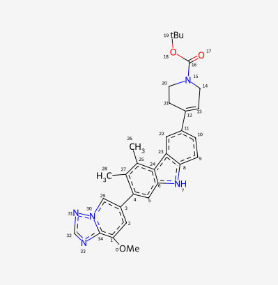 COc1cc(-c2cc3[nH]c4ccc(C5=CCN(C(=O)OC(C)(C)C)CC5)cc4c3c(C)c2C)cn2ncnc12